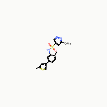 COc1cc(S(=O)(=O)Nc2cc(-c3csc(C)c3)ccc2C)cnn1